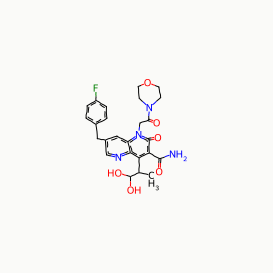 CC(c1c(C(N)=O)c(=O)n(CC(=O)N2CCOCC2)c2cc(Cc3ccc(F)cc3)cnc12)C(O)O